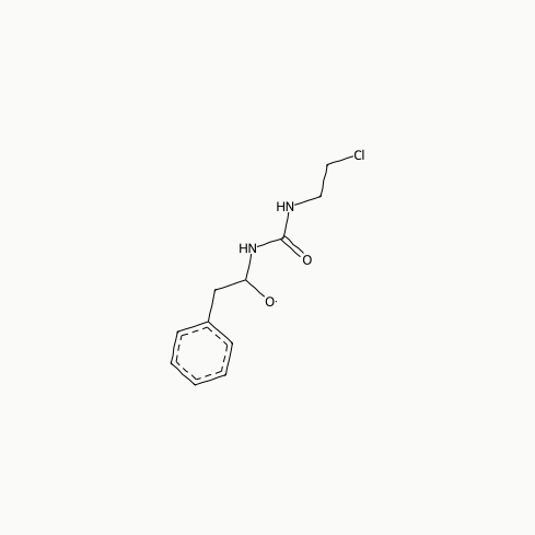 [O]C(Cc1ccccc1)NC(=O)NCCCl